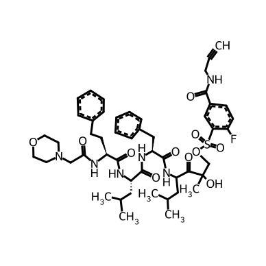 C#CCNC(=O)c1ccc(F)c(S(=O)(=O)OCC(C)(O)C(=O)C(CC(C)C)NC(=O)[C@H](Cc2ccccc2)NC(=O)[C@H](CC(C)C)NC(=O)[C@H](CCc2ccccc2)NC(=O)CN2CCOCC2)c1